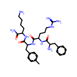 Cc1ccc(CC(NC(=O)C(CCCNC(=N)N)NC(=O)C(N)Cc2ccccc2)C(=O)NC(CCCCN)C(N)=O)cc1